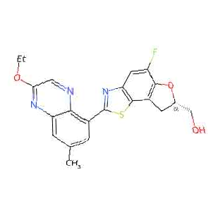 CCOc1cnc2c(-c3nc4cc(F)c5c(c4s3)C[C@@H](CO)O5)cc(C)cc2n1